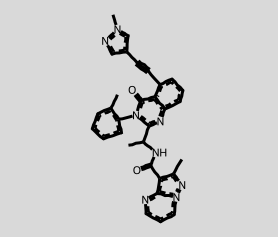 Cc1ccccc1-n1c(C(C)NC(=O)c2c(C)nn3cccnc23)nc2cccc(C#Cc3cnn(C)c3)c2c1=O